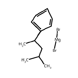 [Br][Mg][Br].[CH2]C(CC(C)C)c1ccccc1